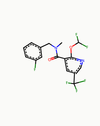 CN(Cc1cccc(F)c1)C(=O)c1cc(C(F)(F)F)cnc1OC(F)F